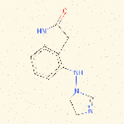 O=C1Cc2c(cccc2NN2C=NCC2)N1